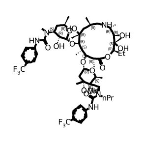 CCCN(C[C@]1(O)[C@H](C)O[C@@H](O[C@H]2[C@H](C)[C@@H](O[C@@H]3O[C@H](C)C[C@H](N(C)C(=O)Nc4ccc(C(F)(F)F)cc4)[C@H]3O)[C@](C)(O)C[C@@H](C)CN[C@H](C)[C@@H](O)[C@](C)(O)[C@@H](CC)OC(=O)[C@@H]2C)C[C@@]1(C)OC)C(=O)Nc1ccc(C(F)(F)F)cc1